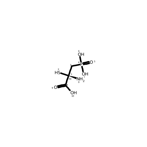 N[C@@](S)(CP(=O)(O)O)C(=O)O